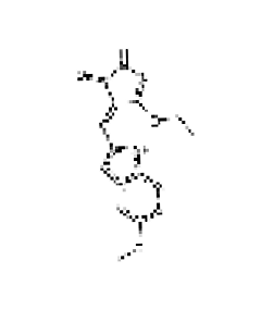 CCOC1=NNC(=O)C1=Cc1cc2cc(OC)ccc2[nH]1